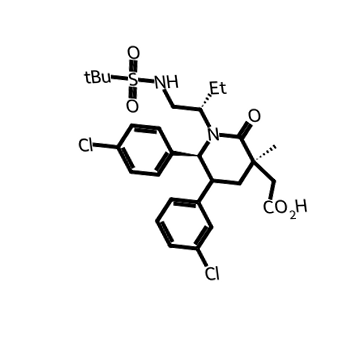 CC[C@@H](CNS(=O)(=O)C(C)(C)C)N1C(=O)[C@@](C)(CC(=O)O)CC(c2cccc(Cl)c2)[C@H]1c1ccc(Cl)cc1